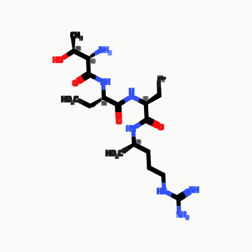 CC(C)C[C@H](NC(=O)[C@H](CC(=O)O)NC(=O)[C@@H](N)[C@@H](C)O)C(=O)N[C@@H](CCCNC(=N)N)C(=O)O